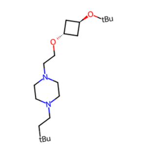 CC(C)(C)CCN1CCN(CCO[C@H]2C[C@H](OC(C)(C)C)C2)CC1